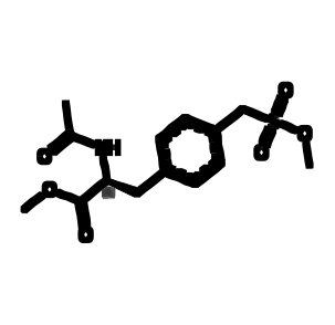 COC(=O)[C@H](Cc1ccc(CS(=O)(=O)OC)cc1)NC(C)=O